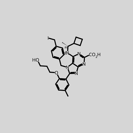 Cc1ccc(OCCCO)c(-c2nc3nc(C(=O)O)nc(N[C@H](C)C4CCC4)c3n2Cc2ccc(CI)cc2)c1